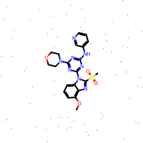 COc1cccc2c1nc(S(C)(=O)=O)n2-c1nc(Nc2cccnc2)nc(N2CCOCC2)n1